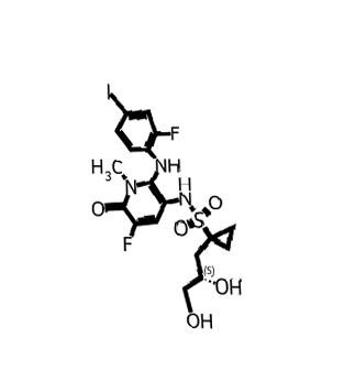 Cn1c(Nc2ccc(I)cc2F)c(NS(=O)(=O)C2(C[C@H](O)CO)CC2)cc(F)c1=O